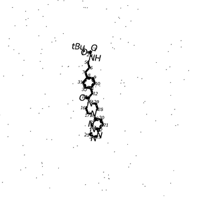 CC(C)(C)OC(=O)NCCCc1ccc(CC(=O)N2CCN(c3ccc4nncn4n3)CC2)cc1